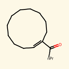 CCCC(=O)C1=CCCCCCCCCCC1